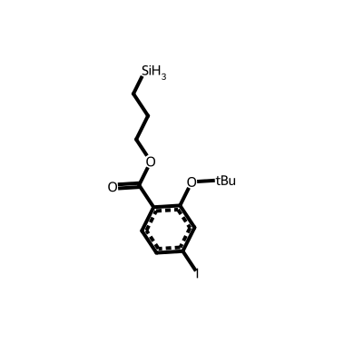 CC(C)(C)Oc1cc(I)ccc1C(=O)OCCC[SiH3]